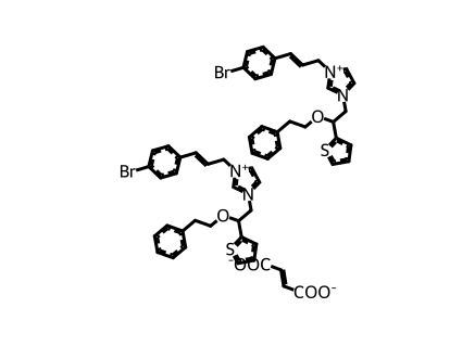 Brc1ccc(C=CC[n+]2ccn(CC(OCCc3ccccc3)c3cccs3)c2)cc1.Brc1ccc(C=CC[n+]2ccn(CC(OCCc3ccccc3)c3cccs3)c2)cc1.O=C([O-])C=CC(=O)[O-]